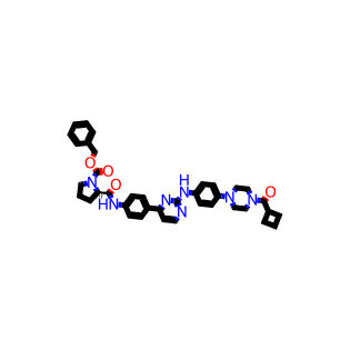 O=C(Nc1ccc(-c2ccnc(Nc3ccc(N4CCN(C(=O)C5CCC5)CC4)cc3)n2)cc1)[C@H]1CCCN1C(=O)OCc1ccccc1